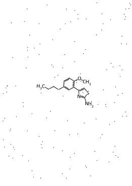 CCCCc1ccc(OC)c(-c2csc(N)n2)c1